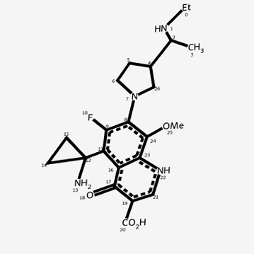 CCNC(C)C1CCN(c2c(F)c(C3(N)CC3)c3c(=O)c(C(=O)O)c[nH]c3c2OC)C1